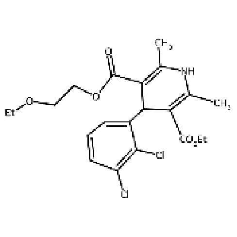 CCOCCOC(=O)C1=C(C)NC(C)=C(C(=O)OCC)C1c1cccc(Cl)c1Cl